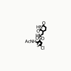 CC(=O)Nc1sc(Cl)cc1S(=O)(=O)NCC1CCC(=O)NC1=O